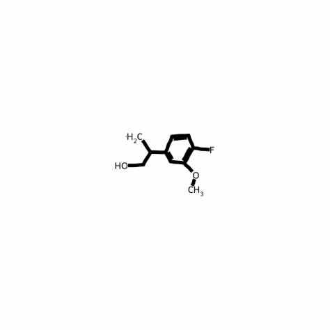 [CH2]C(CO)c1ccc(F)c(OC)c1